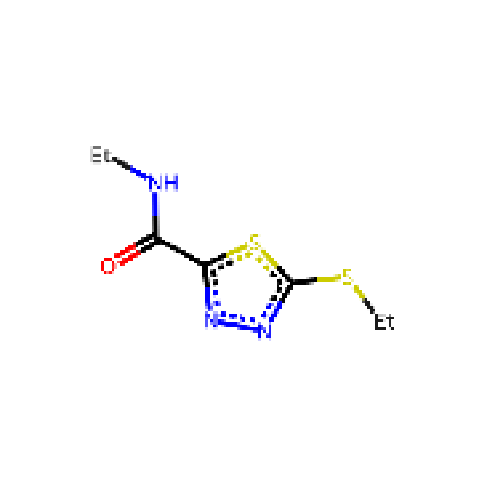 CCNC(=O)c1nnc(SCC)s1